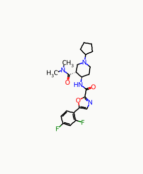 CN(C)C(=O)[C@@H]1CN(C2CCCC2)CC[C@H]1NC(=O)c1ncc(-c2ccc(F)cc2F)o1